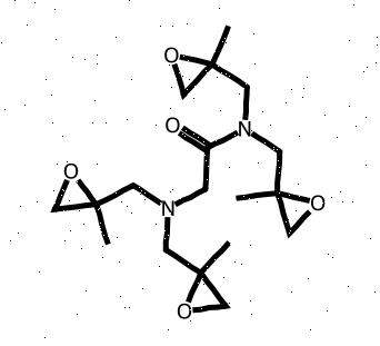 CC1(CN(CC(=O)N(CC2(C)CO2)CC2(C)CO2)CC2(C)CO2)CO1